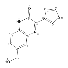 O=c1[nH]c2ccc(CO)cc2nc1-c1ccsc1